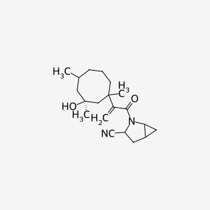 C=C(C(=O)N1C(C#N)CC2CC21)C1(C)CCCC(C)C[C@](C)(O)C1